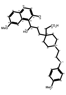 COc1ccc(SCCN2CCC(CCC(O)c3c(Cl)cnc4ccc(OC)cc34)(CC(=O)O)CC2)cc1